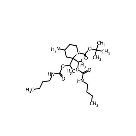 CCCCNC(=O)OC(C)C1(C(C)OC(=O)NCCCC)CC(N)CCN1C(=O)OC(C)(C)C